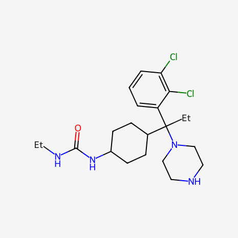 CCNC(=O)NC1CCC(C(CC)(c2cccc(Cl)c2Cl)N2CCNCC2)CC1